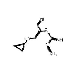 C=NC(=N)N/C(C=N)=C/NC1CC1